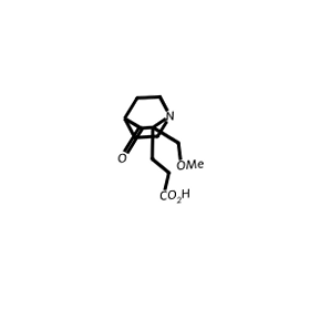 COCC1(CCC(=O)O)C(=O)C2CCN1CC2